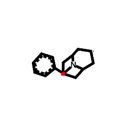 [CH]1CC2CCCC(C1)N2Cc1ccccc1